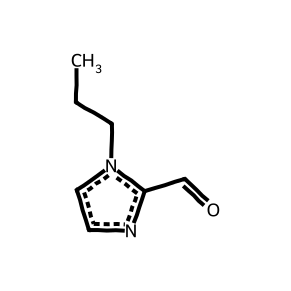 CCCn1ccnc1C=O